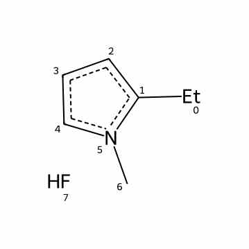 CCc1cccn1C.F